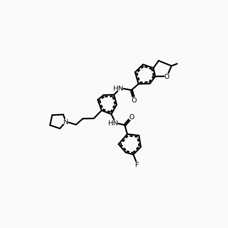 CC1Cc2ccc(C(=O)Nc3ccc(CCCN4CCCC4)c(NC(=O)c4ccc(F)cc4)c3)cc2O1